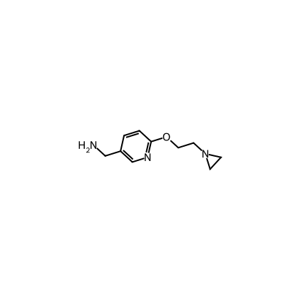 NCc1ccc(OCCN2CC2)nc1